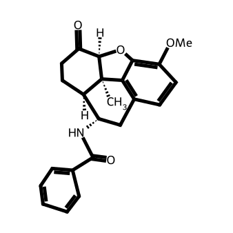 COc1ccc2c3c1O[C@@H]1C(=O)CC[C@H]([C@@H](NC(=O)c4ccccc4)C2)[C@]31C